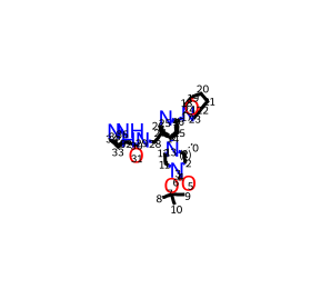 C[C@@H]1CN(C(=O)OC(C)(C)C)CCN1c1cc(N2CC3CCC(C2)O3)ncc1CNC(=O)c1ccn[nH]1